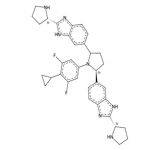 Fc1cc(N2C(c3ccc4nc([C@@H]5CCCN5)[nH]c4c3)CC[C@H]2c2ccc3nc([C@@H]4CCCN4)[nH]c3c2)cc(F)c1C1CC1